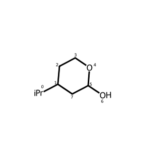 CC(C)C1CCOC(O)C1